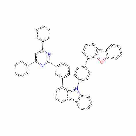 c1ccc(-c2cc(-c3ccccc3)nc(-c3cccc(-c4cccc5c6ccccc6n(-c6ccc(-c7cccc8c7oc7ccccc78)cc6)c45)c3)n2)cc1